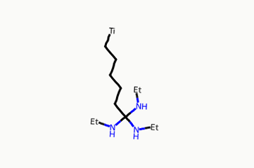 CCNC(CCCC[CH2][Ti])(NCC)NCC